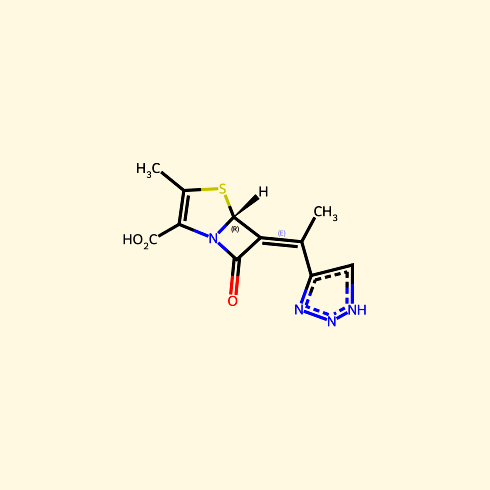 CC1=C(C(=O)O)N2C(=O)/C(=C(/C)c3c[nH]nn3)[C@H]2S1